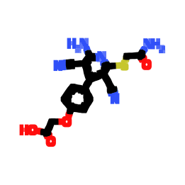 N#Cc1c(N)nc(SCC(N)=O)c(C#N)c1-c1ccc(OCC(=O)O)cc1